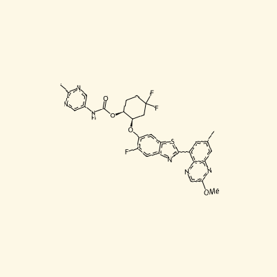 COc1cnc2c(-c3nc4cc(F)c(O[C@@H]5CC(F)(F)CC[C@@H]5OC(=O)Nc5cnc(C)nc5)cc4s3)cc(C)cc2n1